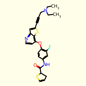 CCN(CC)CC#Cc1cc2nccc(Oc3ccc(NC(=O)C4CC=CS4)cc3F)c2s1